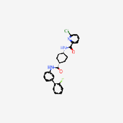 O=C(N[C@H]1CC[C@@H](C(=O)Nc2cccc(-c3ccccc3F)c2)CC1)c1cccc(Cl)n1